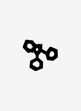 C1=CCC(c2c(-c3ccccc3)nc3ccccn23)C=C1